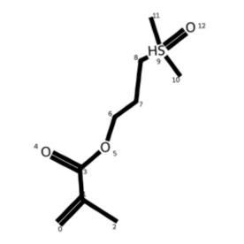 C=C(C)C(=O)OCCC[SH](C)(C)=O